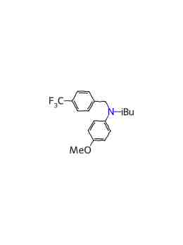 CCC(C)N(Cc1ccc(C(F)(F)F)cc1)c1ccc(OC)cc1